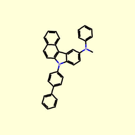 CN(c1ccccc1)c1ccc2c(c1)c1c3ccccc3ccc1n2-c1ccc(-c2ccccc2)cc1